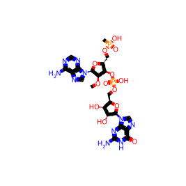 CO[C@@H]1[C@H](OP(=O)(O)OC[C@H]2O[C@@H](n3cnc4c(=O)[nH]c(N)nc43)[C@H](O)[C@@H]2O)[C@@H](COP(C)(=O)O)O[C@H]1n1cnc2c(N)ncnc21